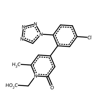 Cc1cc(-c2cc(Cl)ccc2-n2cnnn2)cc(=O)n1CC(=O)O